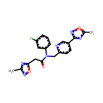 Cc1noc(CC(=O)N(Cc2ccc(-c3noc(C(F)(F)F)n3)cn2)c2cccc(F)c2)n1